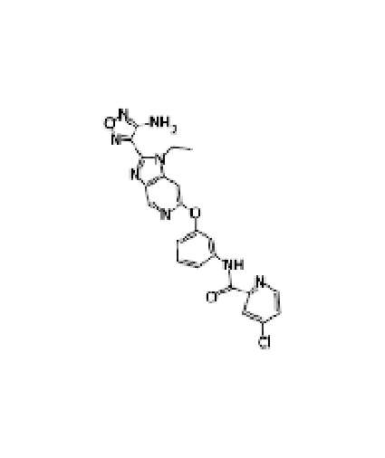 CCn1c(-c2nonc2N)nc2cnc(Oc3cccc(NC(=O)c4cc(Cl)ccn4)c3)cc21